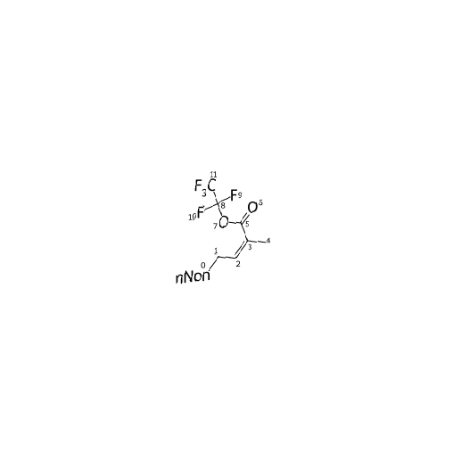 CCCCCCCCCCC=C(C)C(=O)OC(F)(F)C(F)(F)F